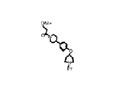 COCCC(=O)N1CCC(c2ccc(OC3CCN(C(C)C)CC3)cc2)CC1